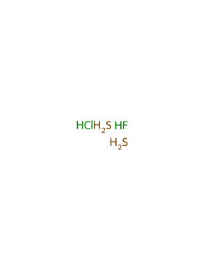 Cl.F.S.S